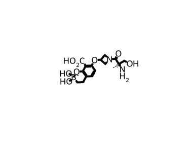 C[C@@](N)(CO)C(=O)N1CC(Oc2ccc3c(c2C(=O)O)O[B-](O)(O)CC3)C1